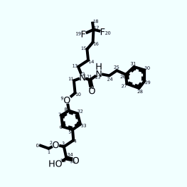 CCOC(Cc1ccc(OCCN(CCCCC(C)(F)F)C(=O)NCCc2ccccc2)cc1)C(=O)O